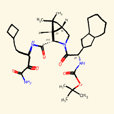 CC(C)(C)OC(=O)N[C@H](C(=O)N1C[C@@H]2[C@H]([C@H]1C(=O)NC(CC1CCC1)C(=O)C(N)=O)C2(C)C)C1CC2CCCCC2C1